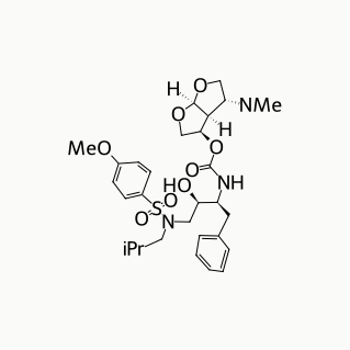 CN[C@H]1CO[C@@H]2OC[C@H](OC(=O)N[C@@H](Cc3ccccc3)[C@H](O)CN(CC(C)C)S(=O)(=O)c3ccc(OC)cc3)[C@@H]21